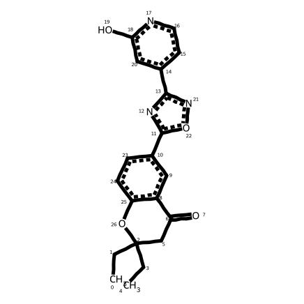 CCC1(CC)CC(=O)c2cc(-c3nc(-c4ccnc(O)c4)no3)ccc2O1